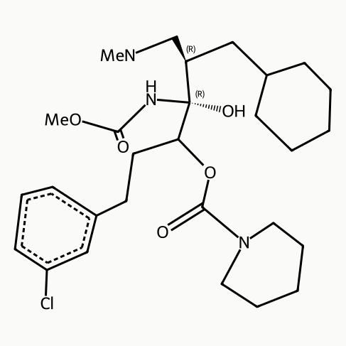 CNC[C@@H](CC1CCCCC1)[C@](O)(NC(=O)OC)C(CCc1cccc(Cl)c1)OC(=O)N1CCCCC1